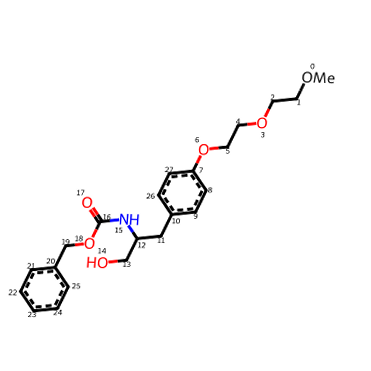 COCCOCCOc1ccc(CC(CO)NC(=O)OCc2ccccc2)cc1